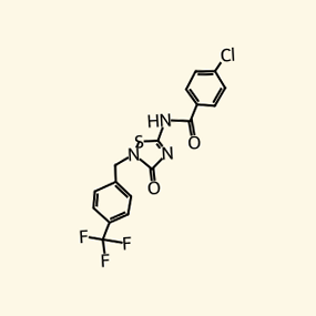 O=C(Nc1nc(=O)n(Cc2ccc(C(F)(F)F)cc2)s1)c1ccc(Cl)cc1